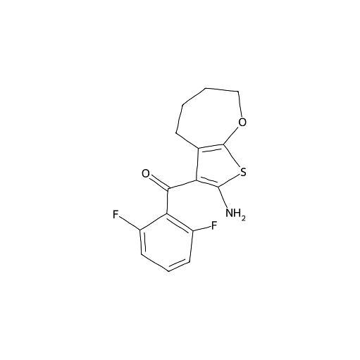 Nc1sc2c(c1C(=O)c1c(F)cccc1F)CCCCO2